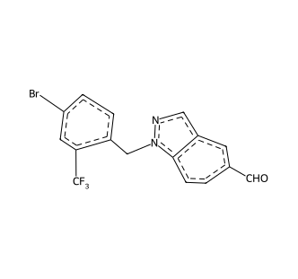 O=Cc1ccc2c(cnn2Cc2ccc(Br)cc2C(F)(F)F)c1